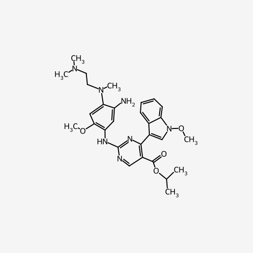 COc1cc(N(C)CCN(C)C)c(N)cc1Nc1ncc(C(=O)OC(C)C)c(-c2cn(OC)c3ccccc23)n1